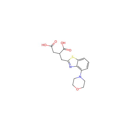 O=C(O)CC(Cc1nc2c(N3CCOCC3)cccc2s1)C(=O)O